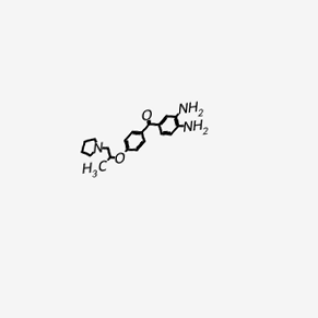 CC(CN1CCCC1)Oc1ccc(C(=O)c2ccc(N)c(N)c2)cc1